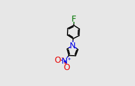 O=[N+]([O-])c1ccn(-c2ccc(F)cc2)c1